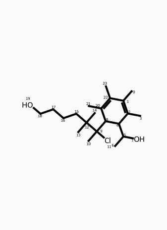 CC1=C(C)C(C(C)O)C(C(C)(Cl)C(C)(C)CCCCO)C(C)=C1C